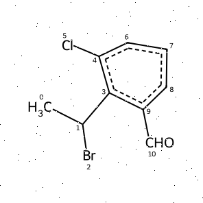 CC(Br)c1c(Cl)cccc1C=O